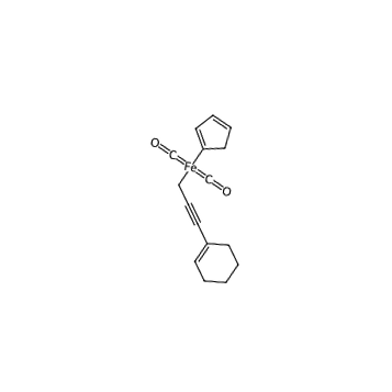 O=[C]=[Fe](=[C]=O)([CH2]C#CC1=CCCCC1)[C]1=CC=CC1